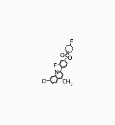 Cc1cc(-c2ccc(S(=O)(=O)N3CCC(F)CC3)cc2F)nc2cc(Cl)ccc12